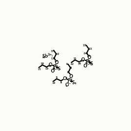 CCCOP([O-])(=S)OCCC.CCCOP([O-])(=S)OCCC.CCCOP([O-])(=S)OCCC.[Sb+3]